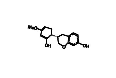 COC1=CCC([C@H]2COc3cc(O)ccc3C2)C(O)=C1